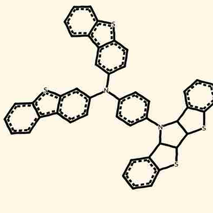 c1ccc2c(c1)SC1C3Sc4ccccc4C3N(c3ccc(N(c4ccc5c(c4)sc4ccccc45)c4ccc5sc6ccccc6c5c4)cc3)C21